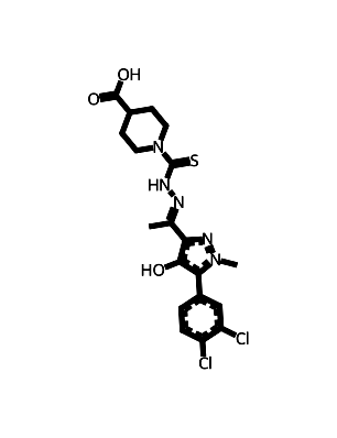 C/C(=N\NC(=S)N1CCC(C(=O)O)CC1)c1nn(C)c(-c2ccc(Cl)c(Cl)c2)c1O